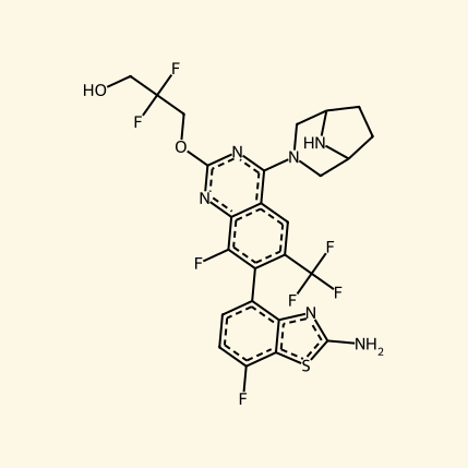 Nc1nc2c(-c3c(C(F)(F)F)cc4c(N5CC6CCC(C5)N6)nc(OCC(F)(F)CO)nc4c3F)ccc(F)c2s1